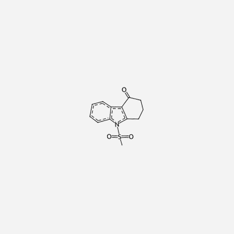 CS(=O)(=O)n1c2c(c3ccccc31)C(=O)CCC2